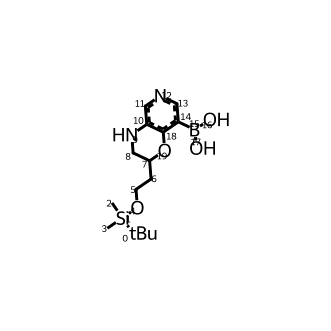 CC(C)(C)[Si](C)(C)OCCC1CNc2cncc(B(O)O)c2O1